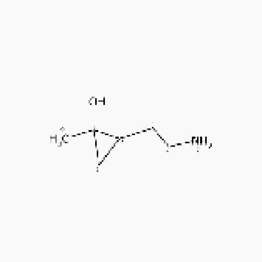 CC1(O)CC1CCN